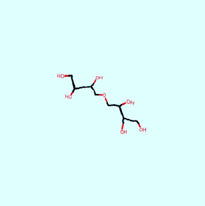 OCC(O)C(O)COCC(O)C(O)CO